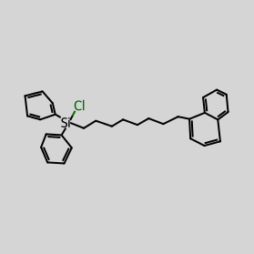 Cl[Si](CCCCCCCCc1cccc2ccccc12)(c1ccccc1)c1ccccc1